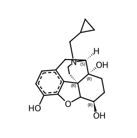 Oc1ccc2c3c1OC1[C@H](O)CC[C@]4(O)[C@H](C2)N(CC2CC2)CC[C@@]314